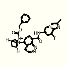 Cc1cn2cc(NC(=O)c3ccc(N4C[C@H]5C[C@@H]4C5N(C)C(=O)OCc4ccccc4)c4ccnnc34)cc(F)c2n1